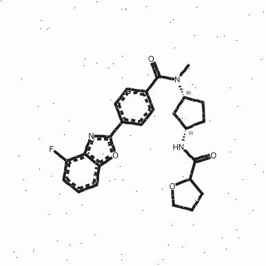 CN(C(=O)c1ccc(-c2nc3c(F)cccc3o2)cc1)[C@@H]1CC[C@H](NC(=O)C2CCCO2)C1